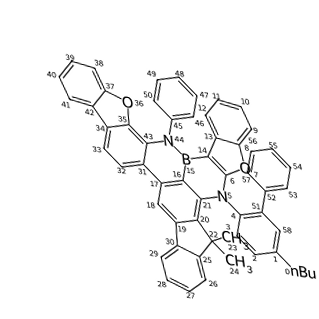 CCCCc1ccc(N2c3oc4ccccc4c3B3c4c(cc5c(c42)C(C)(C)c2ccccc2-5)-c2ccc4c(oc5ccccc54)c2N3c2ccccc2)c(-c2ccccc2)c1